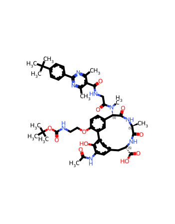 CC(=O)Nc1cc2cc(c1O)-c1cc(ccc1OCCNC(=O)OC(C)(C)C)[C@H](N(C)C(=O)CNC(=O)c1c(C)nc(-c3ccc(C(C)(C)C)cc3)nc1C)C(=O)N[C@@H](C)C(=O)N[C@H](C(=O)O)C2